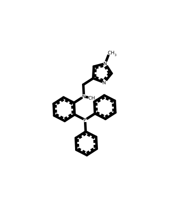 CN(Cc1cn(C)cn1)c1ccccc1P(c1ccccc1)c1ccccc1